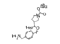 CC(C)(C)OC(=O)N1CCC(C(=O)Nc2cc(CN)ccc2F)C1